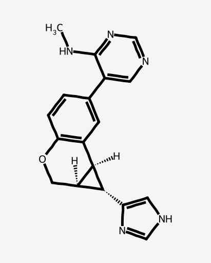 CNc1ncncc1-c1ccc2c(c1)[C@@H]1[C@H](CO2)[C@H]1c1c[nH]cn1